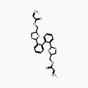 C=CC(=O)OCC1CSC(c2ccccc2-c2ccccc2C2SCC(COC(=O)C=C)S2)S1